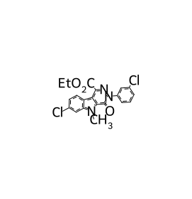 CCOC(=O)c1nn(-c2cccc(Cl)c2)c(=O)c2c1c1ccc(Cl)cc1n2C